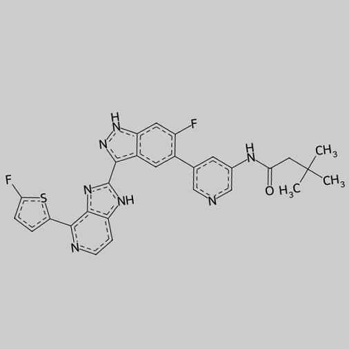 CC(C)(C)CC(=O)Nc1cncc(-c2cc3c(-c4nc5c(-c6ccc(F)s6)nccc5[nH]4)n[nH]c3cc2F)c1